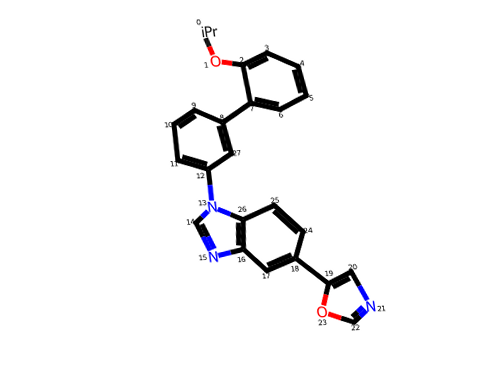 CC(C)Oc1ccccc1-c1cccc(-n2cnc3cc(-c4cnco4)ccc32)c1